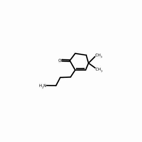 CC1(C)C=C(CCCN)C(=O)CC1